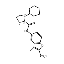 CCOC(=O)c1oc2ccc(NC(=O)[C@H]3NCC[C@H]3C3CCCCC3)cc2c1C